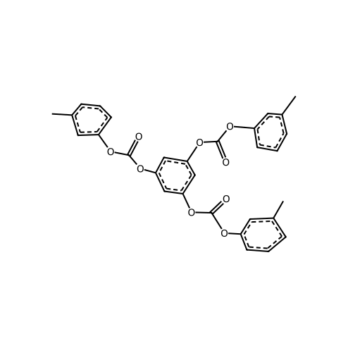 Cc1cccc(OC(=O)Oc2cc(OC(=O)Oc3cccc(C)c3)cc(OC(=O)Oc3cccc(C)c3)c2)c1